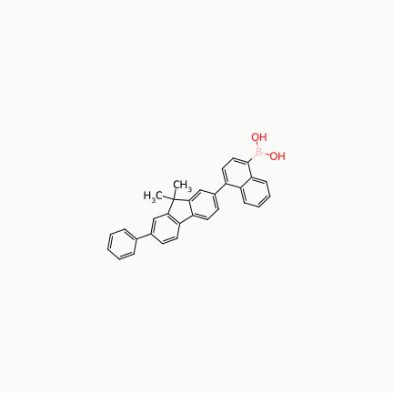 CC1(C)c2cc(-c3ccccc3)ccc2-c2ccc(-c3ccc(B(O)O)c4ccccc34)cc21